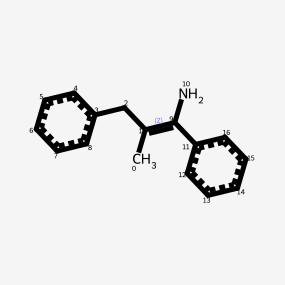 C/C(Cc1ccccc1)=C(/N)c1ccccc1